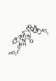 O=C(O)CON=C(C(=O)NC1C(=O)N2CC(C=Cc3ccc([N+](=O)[O-])cc3[N+](=O)[O-])(C(=O)O)CS[C@H]12)c1cscn1